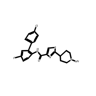 CCCN1CCC(c2nc(C(=O)Nc3ccc(F)cc3-c3ccc(Cl)cc3)cs2)CC1